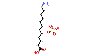 NCCCCCCCCCCCC(=O)O.O=S(=O)(O)O